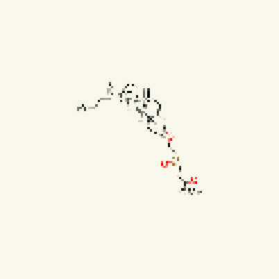 COC(=O)CC[S+]([O-])CCO[C@H]1CC[C@@]2(C)C(=CC[C@H]3[C@@H]4CC[C@H]([C@H](C)CCCC(C)C)[C@@]4(C)CC[C@@H]32)C1